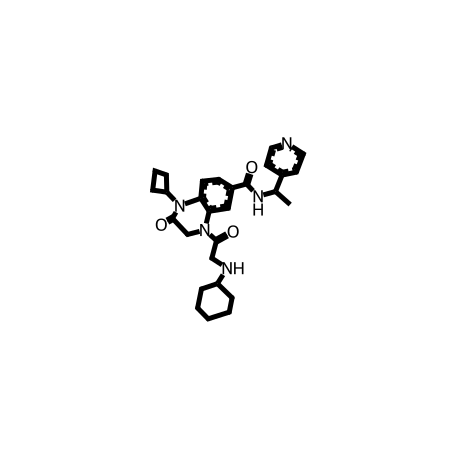 CC(NC(=O)c1ccc2c(c1)N(C(=O)CNC1CCCCC1)CC(=O)N2C1CCC1)c1ccncc1